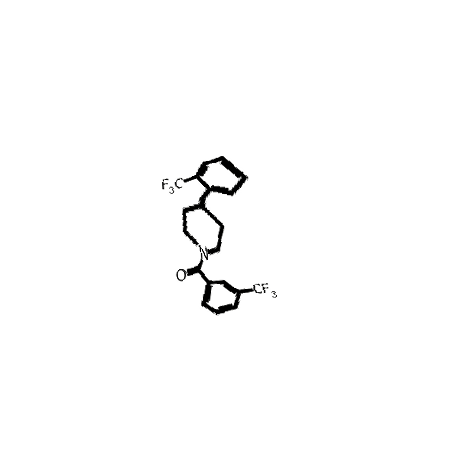 O=C(c1cccc(C(F)(F)F)c1)N1CCC(c2ccccc2C(F)(F)F)CC1